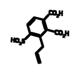 C=CCc1c(S(=O)(=O)O)ccc(C(=O)O)c1C(=O)O